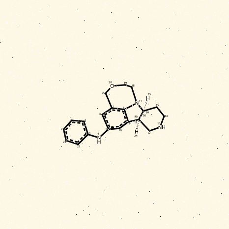 c1ccc(Nc2cc3c4c(c2)[C@@H]2CNCC[C@@H]2N4CCOC3)cc1